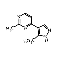 Cc1nccc(-c2cn[nH]c2C(=O)O)n1